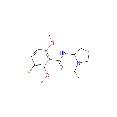 C=C(NC1CCCN1CC)c1c(OC)ccc(F)c1OC